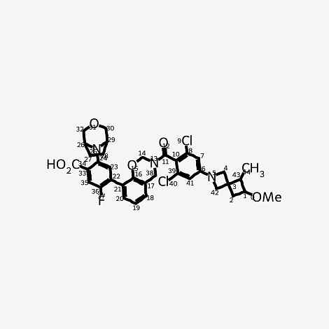 COC1CC2(CN(c3cc(Cl)c(C(=O)N4COc5c(cccc5-c5cc(N6C7CCC6COC7)c(C(=O)O)cc5F)C4)c(Cl)c3)C2)C1C